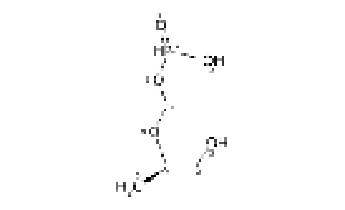 C[C@H](CO)OCO[PH](=O)O